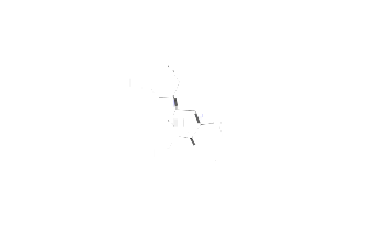 C=C(OC)/C(=C\C(N)=C(/CN)OC)OC